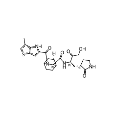 Cc1csc2cc(C(=O)N3C4CCC(CC4)[C@@H]3C(=O)N[C@H](C[C@@H]3CCNC3=O)C(=O)CO)[nH]c12